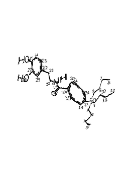 CCC[CH2][Sn]([CH2]CCC)([CH2]CCC)[c]1ccc(C(=O)NCCc2ccc(O)c(O)c2)cc1